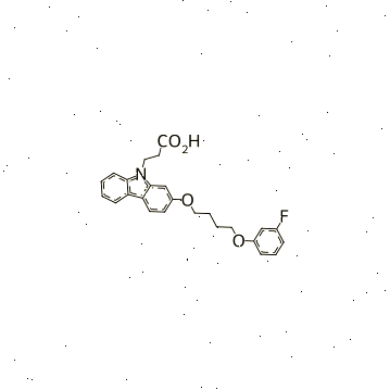 O=C(O)CCn1c2ccccc2c2ccc(OCCCCOc3cccc(F)c3)cc21